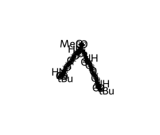 COC(=O)[C@H](CCCCNC(=O)COCCOCCOCCNC(=O)OC(C)(C)C)NC(=O)COCCOCCOCCNC(=O)OC(C)(C)C